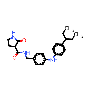 CCC(CC)c1ccc(Nc2ccc(CNC(=O)C3CCNC3=O)cc2)cc1